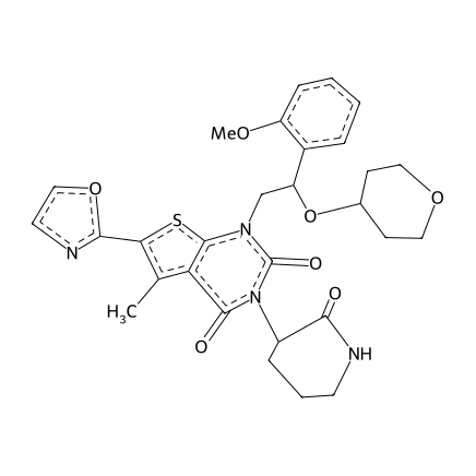 COc1ccccc1C(Cn1c(=O)n(C2CCCNC2=O)c(=O)c2c(C)c(-c3ncco3)sc21)OC1CCOCC1